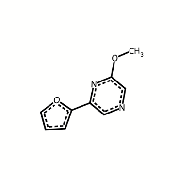 COc1cncc(-c2ccco2)n1